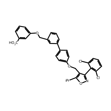 CC(C)c1onc(-c2c(Cl)cccc2Cl)c1COc1ccc(-c2cccc(COc3cccc(C(=O)O)c3)c2)cc1